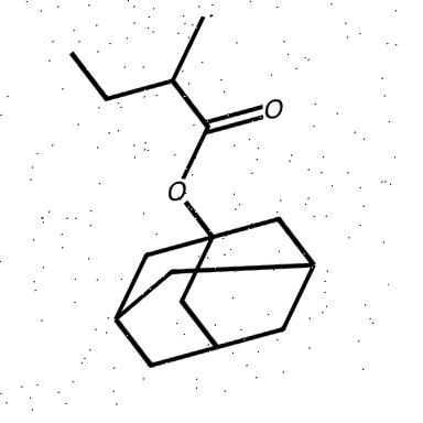 [CH2]C(CC)C(=O)OC12CC3CC(CC(C3)C1)C2